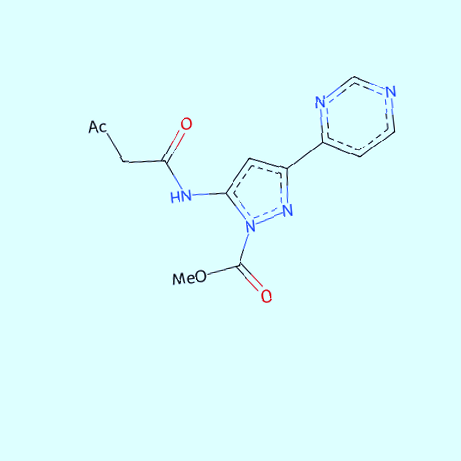 COC(=O)n1nc(-c2ccncn2)cc1NC(=O)CC(C)=O